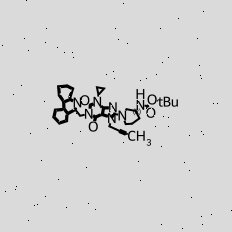 CC#CCn1c(N2CCC[C@@H](NC(=O)OC(C)(C)C)C2)nc2c1c(=O)n(Cc1nc3ccccc3c3ccccc13)c(=O)n2C1CC1